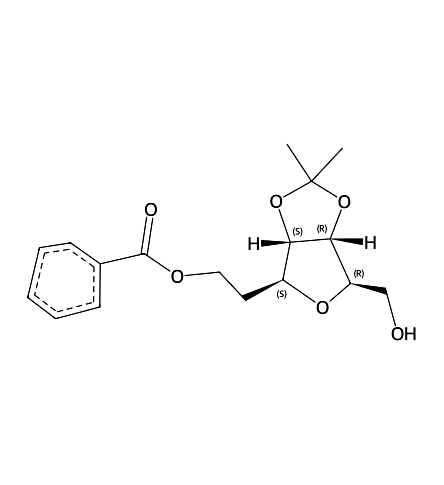 CC1(C)O[C@@H]2[C@H](O1)[C@@H](CO)O[C@H]2CCOC(=O)c1ccccc1